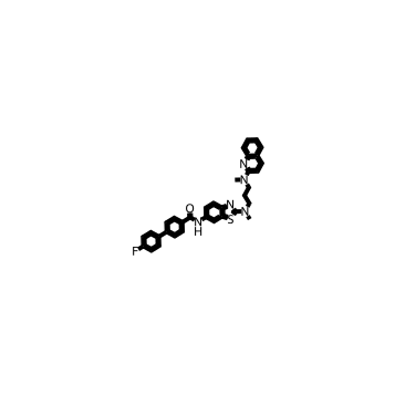 CN(CCCN(C)c1nc2ccc(NC(=O)c3ccc(-c4ccc(F)cc4)cc3)cc2s1)c1ccc2ccccc2n1